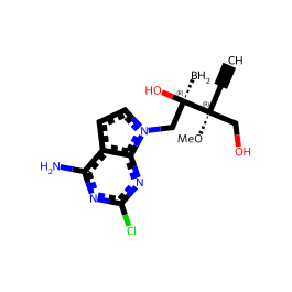 B[C@@](O)(Cn1ccc2c(N)nc(Cl)nc21)[C@@](C#C)(CO)OC